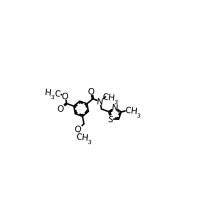 COCc1cc(C(=O)OC)cc(C(=O)N(C)Cc2nc(C)cs2)c1